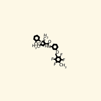 Cc1c(F)c(F)c(COc2cccc(NC(=O)c3cc(C)n(-c4ccccc4C(F)(F)F)c3C)c2)c(F)c1F